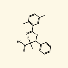 Cc1ccc(I)cc1C(=O)OC(c1ccccc1)C(F)(F)C(=O)O